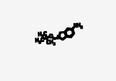 CC(C)(C)OCN1Cc2ccc(N)cc2C1